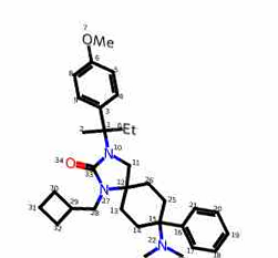 CCC(C)(c1ccc(OC)cc1)N1CC2(CCC(c3ccccc3)(N(C)C)CC2)N(CC2CCC2)C1=O